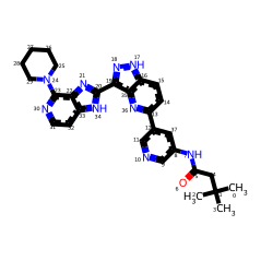 CC(C)(C)CC(=O)Nc1cncc(-c2ccc3[nH]nc(-c4nc5c(N6CCCCC6)nccc5[nH]4)c3n2)c1